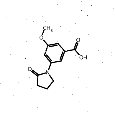 COc1cc(C(=O)O)cc(N2CCCC2=O)c1